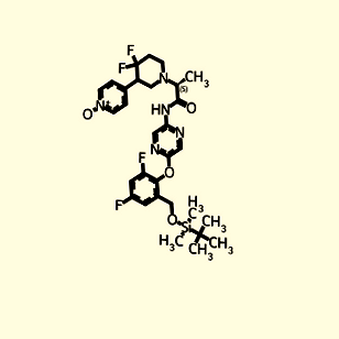 C[C@@H](C(=O)Nc1cnc(Oc2c(F)cc(F)cc2CO[Si](C)(C)C(C)(C)C)cn1)N1CCC(F)(F)C(c2cc[n+]([O-])cc2)C1